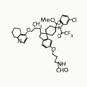 COC(=O)C1(N(C(=O)C(F)(F)F)c2cccc(Cl)c2)CCC2(CC1)c1cc(OCCCNC=O)ccc1CC2C[C@@H](C)COc1ccnc2c1CCCC2